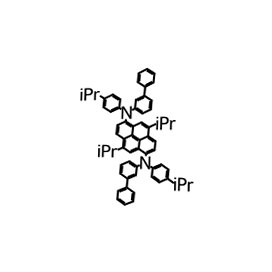 CC(C)c1ccc(N(c2cccc(-c3ccccc3)c2)c2ccc3c(C(C)C)cc4c(N(c5ccc(C(C)C)cc5)c5cccc(-c6ccccc6)c5)ccc5c(C(C)C)cc2c3c54)cc1